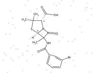 CC1(C)S[C@H]2N(C(=O)C2(C)NC(=O)c2cccc(Br)c2)[C@H]1C(=O)O